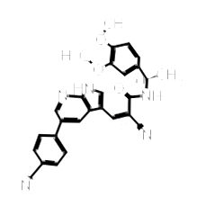 COc1ccc([C@@H](C)NC(=O)/C(C#N)=C\c2c[nH]c3ncc(-c4ccc(C#N)cc4)cc23)cc1OC